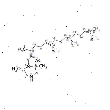 CC(=O)C1(C)CNCC(C)N1C/C=C(\C)CC/C=C(\C)CC/C=C(\C)CCC=C(C)C